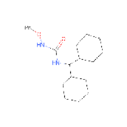 CC(C)ONC(=O)NC(C1CCCCC1)C1CCCCC1